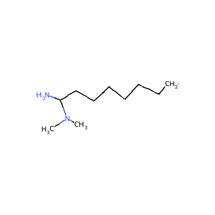 [CH2]CCCCCCC(N)N(C)C